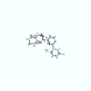 Cc1ccc(F)c(-c2cccc(-c3ncc4ccccc4n3)n2)c1